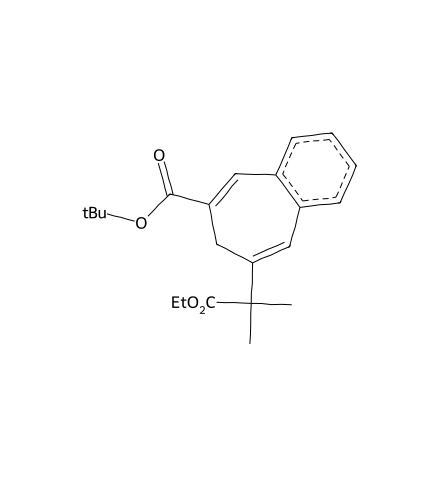 CCOC(=O)C(C)(C)C1=Cc2ccccc2C=C(C(=O)OC(C)(C)C)C1